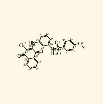 COc1ccc(S(=O)(=O)Nc2cccc(NC3=C(Cl)C(=O)c4ccccc4C3=O)c2)cc1